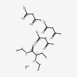 CC(=O)CC(=O)[O-].CC(=O)CC(=O)[O-].CC(=O)CC(=O)[O-].CCOC(=O)C(CC)OCC.[Al+3]